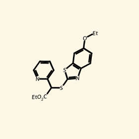 CCOC(=O)C(Sc1nc2ccc(OCC)cc2s1)c1ccccn1